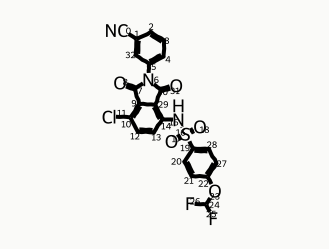 N#Cc1cccc(N2C(=O)c3c(Cl)ccc(NS(=O)(=O)c4ccc(OC(F)F)cc4)c3C2=O)c1